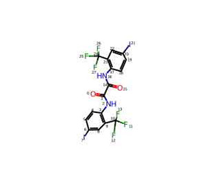 O=C(Nc1ccc(I)cc1C(F)(F)F)C(=O)Nc1ccc(I)cc1C(F)(F)F